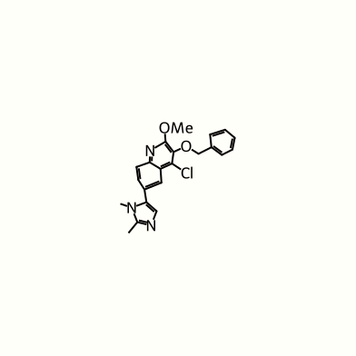 COc1nc2ccc(-c3cnc(C)n3C)cc2c(Cl)c1OCc1ccccc1